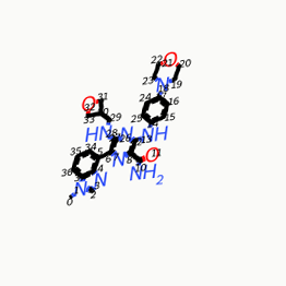 Cn1cnc2c(-c3nc(C(N)=O)c(Nc4ccc(N5CCOCC5)cc4)nc3NCC3COC3)cccc21